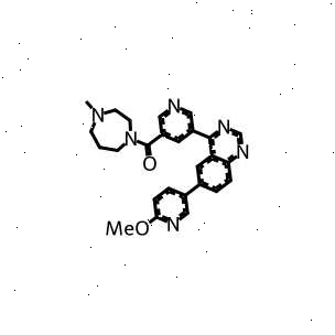 COc1ccc(-c2ccc3ncnc(-c4cncc(C(=O)N5CCCN(C)CC5)c4)c3c2)cn1